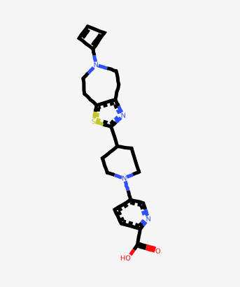 O=C(O)c1ccc(N2CCC(c3nc4c(s3)CCN(C3=CC=C3)CC4)CC2)cn1